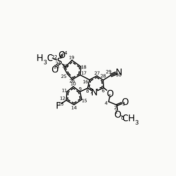 COC(=O)COc1nc(-c2ccc(F)cc2)c(-c2ccc(S(C)(=O)=O)cc2)cc1C#N